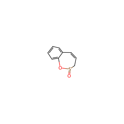 O=S1CC=Cc2ccccc2O1